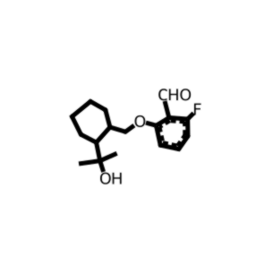 CC(C)(O)C1CCCCC1COc1cccc(F)c1C=O